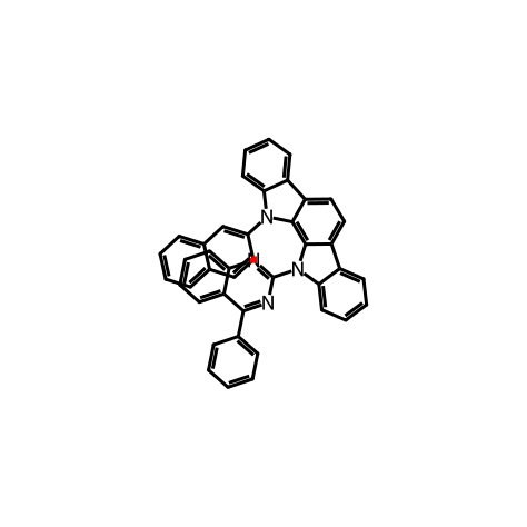 c1ccc(-c2nc(-n3c4ccccc4c4ccc5c6ccccc6n(-c6ccc7ccccc7c6)c5c43)nc3ccccc23)cc1